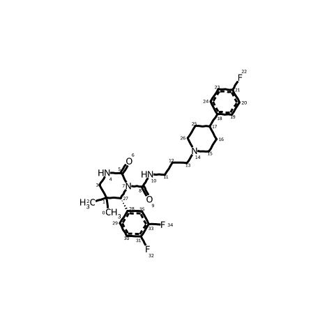 CC1(C)CNC(=O)N(C(=O)NCCCN2CCC(c3ccc(F)cc3)CC2)[C@@H]1c1ccc(F)c(F)c1